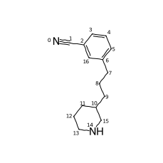 N#Cc1cccc(CCCC2CCCNC2)c1